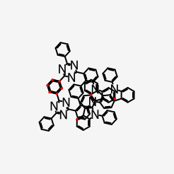 c1ccc(-c2nc(-c3ccccc3)nc(-c3cccc(-n4c5ccccc5c5c4ccc4c6ccccc6n(-c6ccccc6)c45)c3-c3cccc(-c4c(-c5nc(-c6ccccc6)nc(-c6ccccc6)n5)cccc4-n4c5ccccc5c5c4ccc4c6ccccc6n(-c6ccccc6)c45)c3)n2)cc1